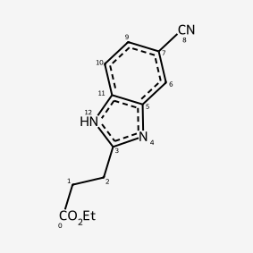 CCOC(=O)CCc1nc2cc(C#N)ccc2[nH]1